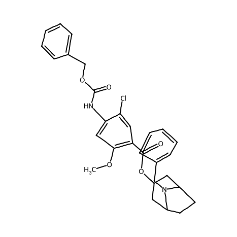 COc1cc(NC(=O)OCc2ccccc2)c(Cl)cc1C(=O)OC1CC2CCC(C1)N2Cc1ccccc1